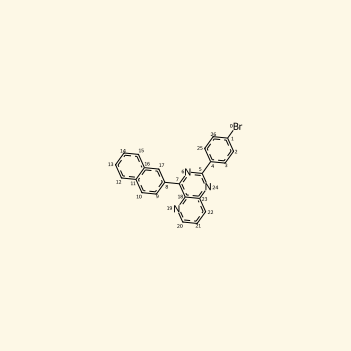 Brc1ccc(-c2nc(-c3ccc4ccccc4c3)c3ncccc3n2)cc1